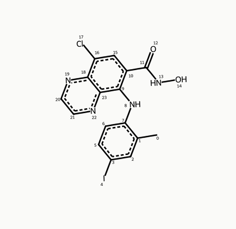 Cc1cc(I)ccc1Nc1c(C(=O)NO)cc(Cl)c2nccnc12